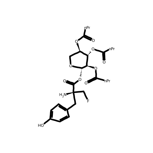 CCCC(=O)O[C@@H]1[C@@H](OC(=O)CCC)[C@H](OC(=O)[C@](N)(CF)Cc2ccc(O)cc2)OC[C@H]1OC(=O)CCC